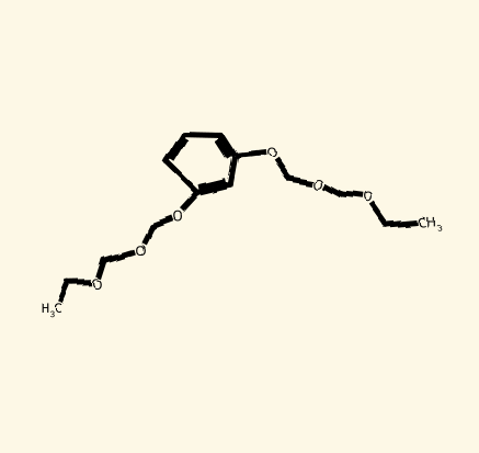 CCOCOCOc1cccc(OCOCOCC)c1